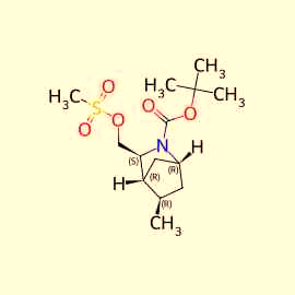 C[C@@H]1C[C@@H]2C[C@H]1[C@@H](COS(C)(=O)=O)N2C(=O)OC(C)(C)C